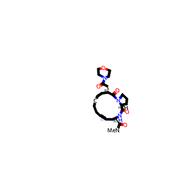 CNC(=O)[C@H]1C/C=C\CCCCC[C@H](CC(=O)N2CCOCC2)C(=O)N2CCC[C@H]2C(=O)N1